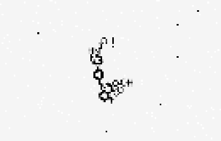 O=C(O)Oc1cn(Cc2ccc(-c3ccc(NCCO)nc3)cc2)c2cccc(F)c2c1=O